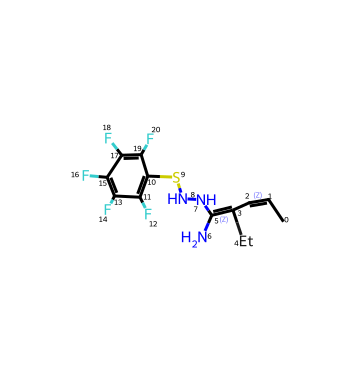 C/C=C\C(CC)=C(\N)NNSc1c(F)c(F)c(F)c(F)c1F